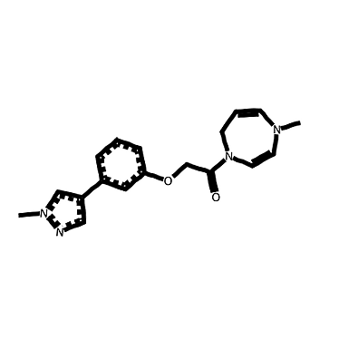 CN1C=CCN(C(=O)COc2c[c]cc(-c3cnn(C)c3)c2)C=C1